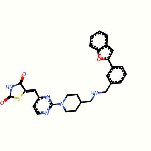 O=C1NC(=O)/C(=C/c2ccnc(N3CCC(CNCc4cccc(-c5cc6ccccc6o5)c4)CC3)n2)S1